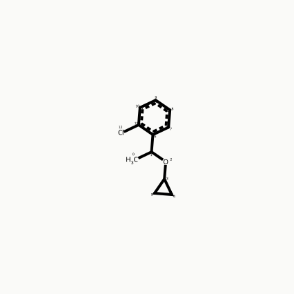 CC(OC1CC1)c1cc[c]cc1Cl